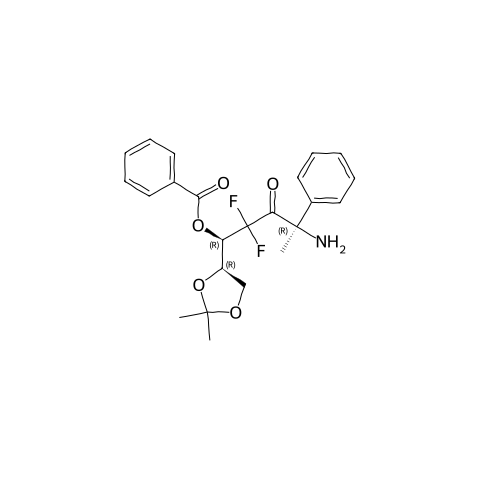 CC1(C)OC[C@H]([C@@H](OC(=O)c2ccccc2)C(F)(F)C(=O)[C@](C)(N)c2ccccc2)O1